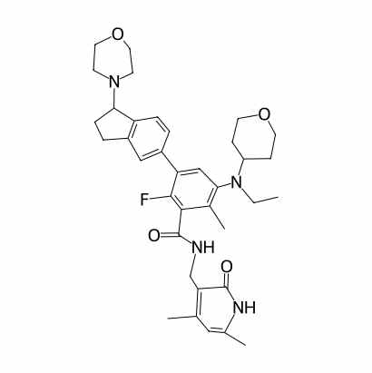 CCN(c1cc(-c2ccc3c(c2)CCC3N2CCOCC2)c(F)c(C(=O)NCc2c(C)cc(C)[nH]c2=O)c1C)C1CCOCC1